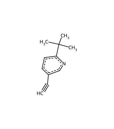 C#Cc1ccc(C(C)(C)C)nc1